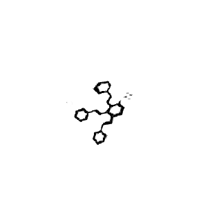 O=P([O-])([O-])Oc1ccc(C=Cc2ccccc2)c(C=Cc2ccccc2)c1C=Cc1ccccc1.[K+].[K+]